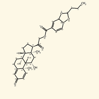 CCCC1OC2C=C(C(=O)OCC(=O)[C@@H]3CC[C@H]4[C@@H]5CCC6=CC(=O)C=C[C@]6(C)C5(F)[C@@H](O)C[C@]34C)C=CN2O1